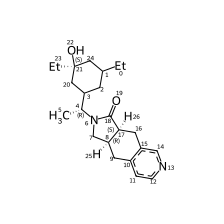 CCC1CC([C@@H](C)N2C[C@@H]3Cc4ccncc4C[C@@H]3C2=O)C[C@](O)(CC)C1